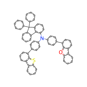 c1ccc(C2(c3ccccc3)c3ccccc3-c3c(N(c4ccc(-c5cccc6c5oc5ccccc56)cc4)c4ccc(-c5cccc6c5sc5ccccc56)cc4)cccc32)cc1